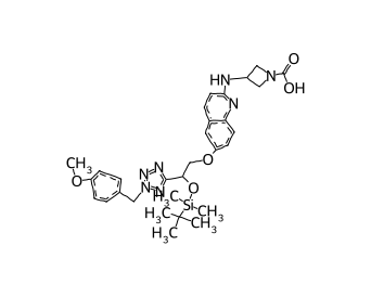 COc1ccc(Cn2nnc(C(COc3ccc4nc(NC5CN(C(=O)O)C5)ccc4c3)O[Si](C)(C)C(C)(C)C)n2)cc1